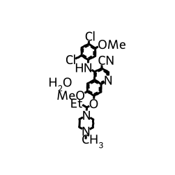 CCC(Oc1cc2ncc(C#N)c(Nc3cc(OC)c(Cl)cc3Cl)c2cc1OC)N1CCN(C)CC1.O